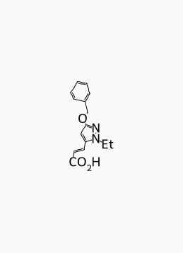 CCn1nc(OCc2ccccc2)cc1/C=C/C(=O)O